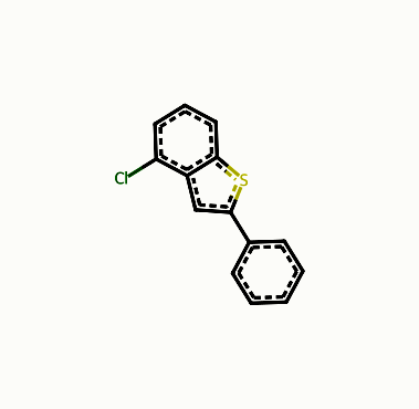 Clc1cccc2sc(-c3ccccc3)cc12